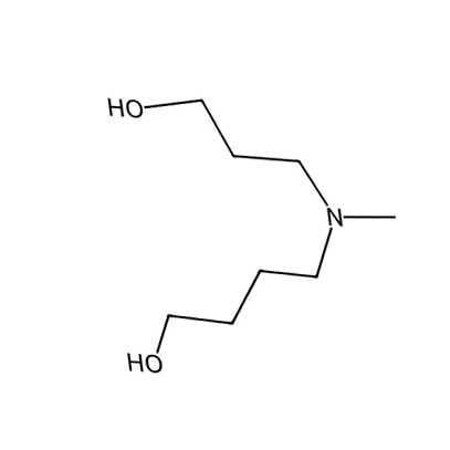 CN(CCCO)CCCCO